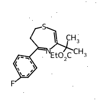 CCOC(=O)C(C)(C)C1=CSCCC(c2ccc(F)cc2)=N1